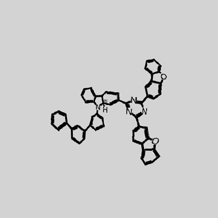 C1=CC2c3ccccc3N(c3cccc(-c4cccc(-c5ccccc5)c4)c3)[C@H]2C=C1c1nc(-c2ccc3c(c2)oc2ccccc23)nc(-c2ccc3oc4ccccc4c3c2)n1